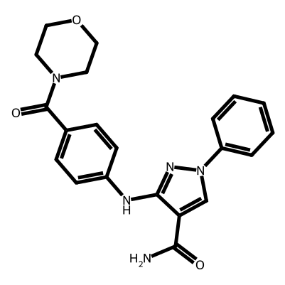 NC(=O)c1cn(-c2ccccc2)nc1Nc1ccc(C(=O)N2CCOCC2)cc1